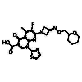 Cc1c(F)c(N2CC(=NOCC3CCCCO3)C2)nc2c1c(=O)c(C(=O)O)cn2-c1nccs1